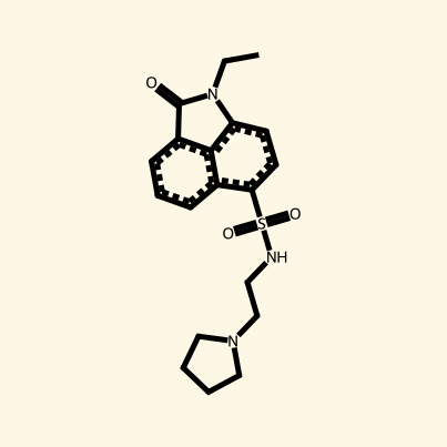 CCN1C(=O)c2cccc3c(S(=O)(=O)NCCN4CCCC4)ccc1c23